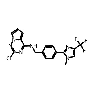 Cn1cc(C(F)(F)F)nc1-c1ccc(CNc2nc(Cl)nn3cccc23)cc1